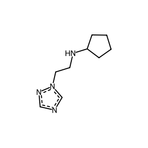 c1ncn(CCNC2CCCC2)n1